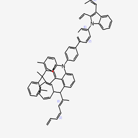 C=C/C=C\C=C(/C)C(c1cccc(N(c2ccc(C(=C)/C=C\C(=C/C)n3c(C=C)c(/C=C\C)c4ccccc43)cc2)c2ccc(C)c(C(C)(C)c3ccccc3C)c2)c1C(C)=C(C)C)C1C=CC=CC=C1